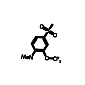 CNc1ccc(S(C)(=O)=O)cc1OC(F)(F)F